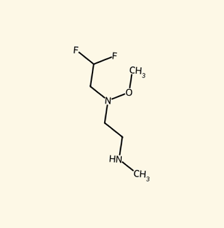 CNCCN(CC(F)F)OC